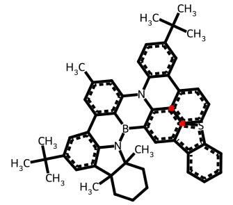 Cc1cc2c3c(c1)N(c1ccc(C(C)(C)C)cc1-c1ccccc1)c1cc4sc5ccccc5c4cc1B3N1c3c-2cc(C(C)(C)C)cc3C2(C)CCCCC12C